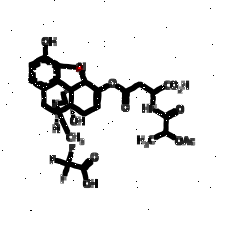 CC(=O)OC(C)C(=O)NC(CC(=O)OC1=CC[C@@]2(O)[C@H]3Cc4ccc(O)c5c4[C@@]2(CCN3C)[C@H]1O5)C(=O)O.O=C(O)C(F)(F)F